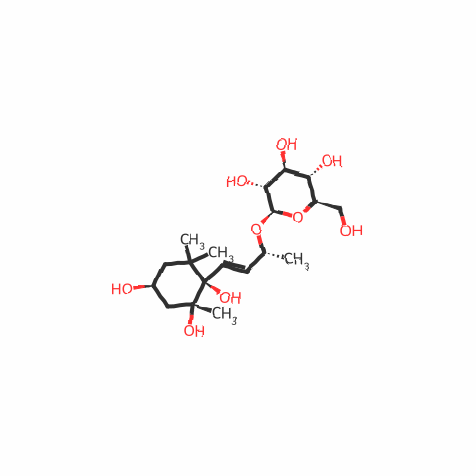 C[C@H](/C=C/[C@@]1(O)C(C)(C)C[C@H](O)C[C@@]1(C)O)O[C@@H]1O[C@H](CO)[C@@H](O)[C@H](O)[C@H]1O